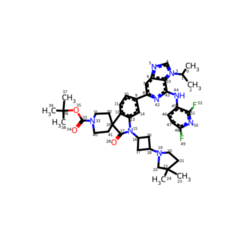 CC(C)n1cnc2cc(-c3ccc4c(c3)N(C3CC(N5CCC(C)(C)C5)C3)C(=O)C43CCN(C(=O)OC(C)(C)C)CC3)nc(Nc3ccc(F)nc3F)c21